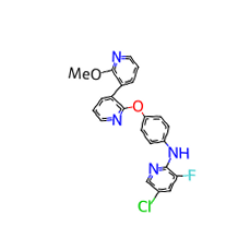 COc1ncccc1-c1cccnc1Oc1ccc(Nc2ncc(Cl)cc2F)cc1